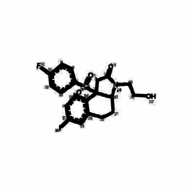 O=C1CC2(S(=O)(=O)c3ccc(F)cc3)c3ccc(I)cc3CCC2N1CCO